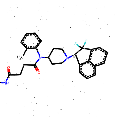 CNC(=O)CCC(=O)N(c1ccccc1C)C1CCN([C@@H]2c3cccc4cccc(c34)C2(F)F)CC1